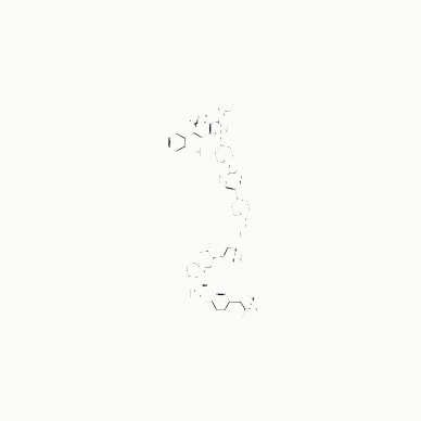 Cc1ncsc1-c1ccc([C@H](C)NC(=O)[C@@H]2C[C@@H](O)CN2C(=O)C(c2cc(OCCN3CCC(c4cnc(N5CCC(n6nc(NC(C)C)c7nnc(-c8ccccc8O)cc76)CC5)nc4)CC3)no2)C(C)C)cc1